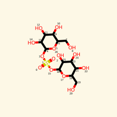 O=S(=O)(OC1OC(CO)C(O)C(O)C1O)OC1OC(CO)C(O)C(O)C1O